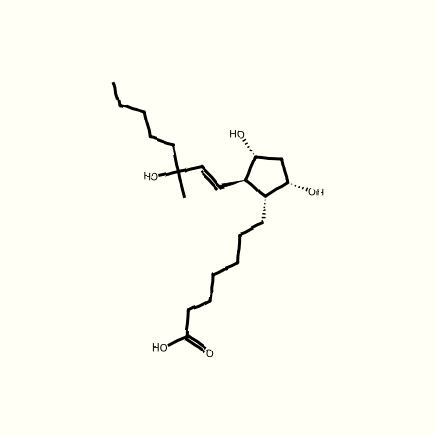 CCCCCC(C)(O)C=C[C@@H]1[C@@H](CCCCCCC(=O)O)[C@@H](O)C[C@H]1O